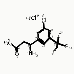 Cl.NC(CC(=O)O)c1cc(Cl)cc(C(F)(F)F)c1